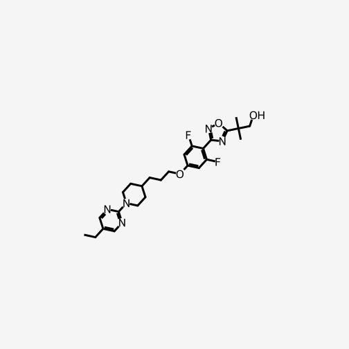 CCc1cnc(N2CCC(CCCOc3cc(F)c(-c4noc(C(C)(C)CO)n4)c(F)c3)CC2)nc1